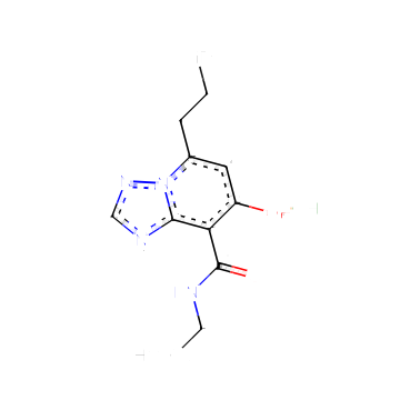 CC(C)CCc1cc(O)c(C(=O)NCC(=O)O)c2ncnn12.Cl